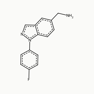 NCc1ccc2c(cnn2-c2ccc(F)cc2)c1